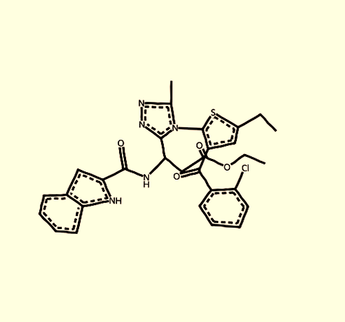 CCOC(=O)CC(NC(=O)c1cc2ccccc2[nH]1)c1nnc(C)n1-c1sc(CC)cc1C(=O)c1ccccc1Cl